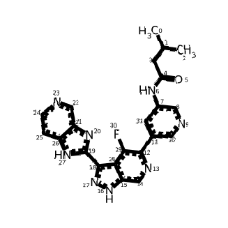 CC(C)CC(=O)Nc1cncc(-c2ncc3[nH]nc(-c4nc5cnccc5[nH]4)c3c2F)c1